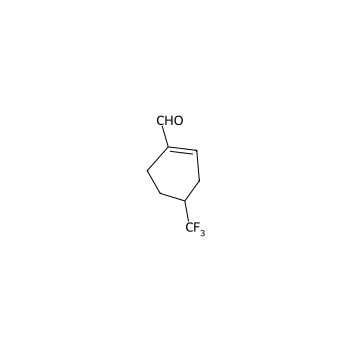 O=CC1=CCC(C(F)(F)F)CC1